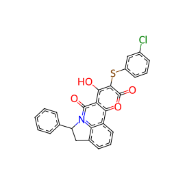 O=c1oc2c(c(O)c1Sc1cccc(Cl)c1)c(=O)n1c3c(cccc23)CC1c1ccccc1